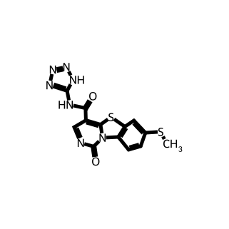 CSc1ccc2c(c1)sc1c(C(=O)Nc3nnn[nH]3)cnc(=O)n12